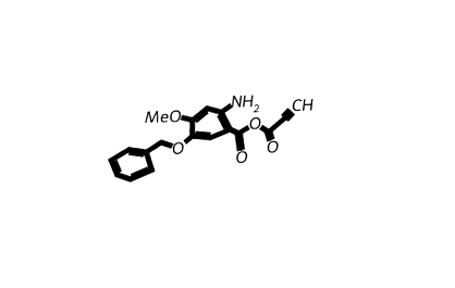 C#CC(=O)OC(=O)c1cc(OCc2ccccc2)c(OC)cc1N